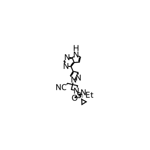 CCN=[S@@](=O)(C1CC1)N1CC(CC#N)(n2cc(-c3ncnc4[nH]ccc34)cn2)C1